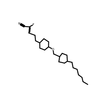 CCCCCCCC1CCC(COC2CCC(CCC=C(F)C#N)CC2)CC1